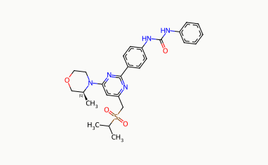 CC(C)S(=O)(=O)Cc1cc(N2CCOC[C@@H]2C)nc(-c2ccc(NC(=O)Nc3ccccc3)cc2)n1